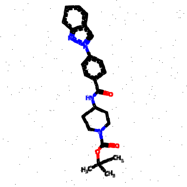 CC(C)(C)OC(=O)N1CCC(NC(=O)c2ccc(-n3cc4ccccc4n3)cc2)CC1